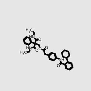 CCNC(=O)C(COC(=O)Cc1ccc(NC(=O)c2ccccc2C2CCCCC2)cc1)(C(=O)NCC)c1ccccc1